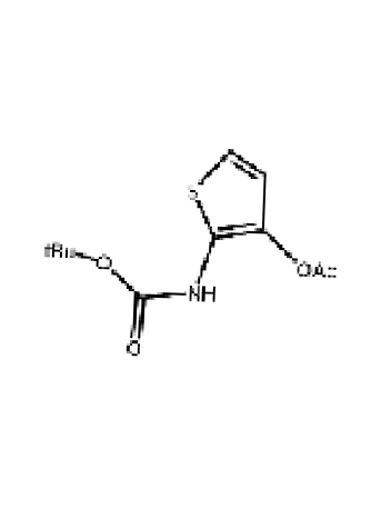 CC(=O)Oc1ccsc1NC(=O)OC(C)(C)C